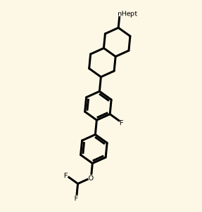 CCCCCCCC1CCC2CC(c3ccc(-c4ccc(OC(F)F)cc4)c(F)c3)CCC2C1